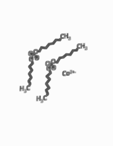 CCCCCCCCOP(=O)([O-])OCCCCCCCC.CCCCCCCCOP(=O)([O-])OCCCCCCCC.[Co+2]